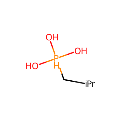 CC(C)C[PH](O)(O)O